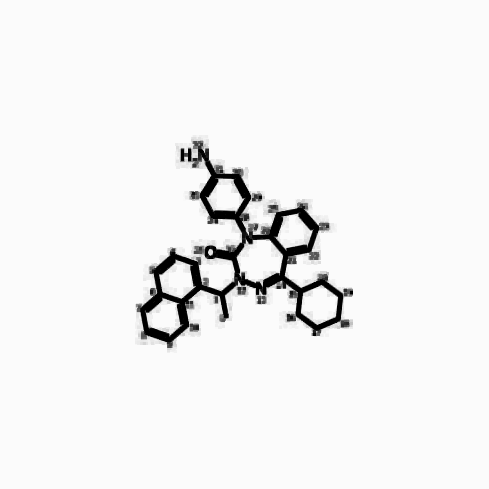 CC(c1cccc2ccccc12)N1N=C(C2CCCCC2)c2ccccc2N(c2ccc(N)cc2)C1=O